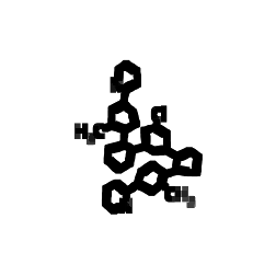 Cc1cc(-c2ccccn2)ccc1-c1ccccc1-c1cc(Cl)cc(-c2ccccc2-c2ccc(-c3ccccn3)cc2C)c1